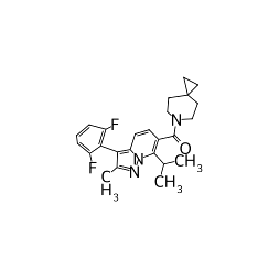 Cc1nn2c(C(C)C)c(C(=O)N3CCC4(CC3)CC4)ccc2c1-c1c(F)cccc1F